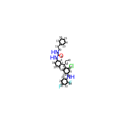 C=C=C(c1cc(NC(=O)NCCc2ccccc2)ccc1C)c1ccc(Nc2ccc(F)cc2F)cc1Cl